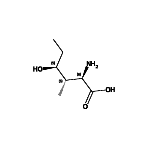 CC[C@H](O)[C@@H](C)[C@@H](N)C(=O)O